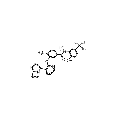 CCC(C)(C)c1ccc(O)c(N(C)C(=O)c2ccc(C)c(Oc3ncccc3-c3ccnc(NC)n3)c2)c1